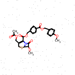 COc1ccc(COC(=O)c2ccc(COC(=O)C3=C(COC(C)=O)CSC4C(OC)C(=O)N34)cc2)cc1